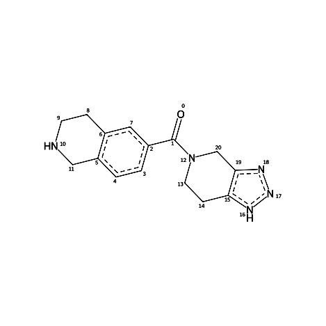 O=C(c1ccc2c(c1)CCNC2)N1CCc2[nH]nnc2C1